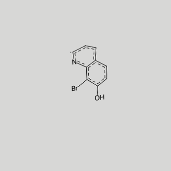 Oc1ccc2cc[c]nc2c1Br